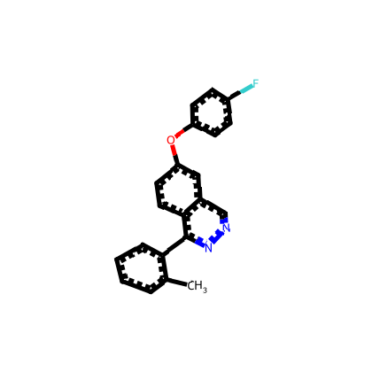 Cc1ccccc1-c1nncc2cc(Oc3ccc(F)cc3)ccc12